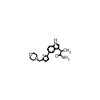 CC(C(N)=O)c1c[nH]c2ccc(-c3ccc(CN4CCOCC4)s3)cc12